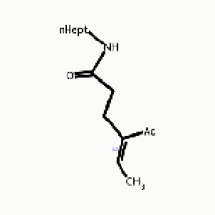 C/C=C(/CCC(=O)NCCCCCCC)C(C)=O